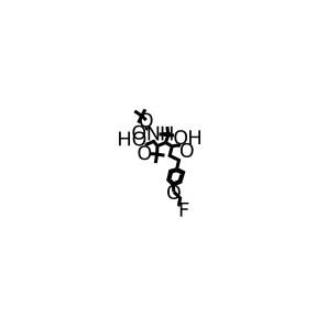 CC(C)(C)OC(=O)N[C@H](C(=O)O)C(C(C(CCc1ccc(OCCF)cc1)C(=O)O)C(C)(C)C)C(C)(C)C